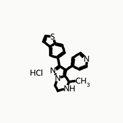 CC1NCCn2nc(-c3ccc4sccc4c3)c(-c3ccncc3)c21.Cl